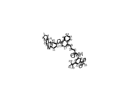 CN1CCC[C@@]1(C)c1nnc2ccc(O[C@@H]3CC[C@H](CCCC(=O)Nc4cc(C(C)(C)C)cc(S(C)(=O)=O)c4)c4ccccc43)cn12